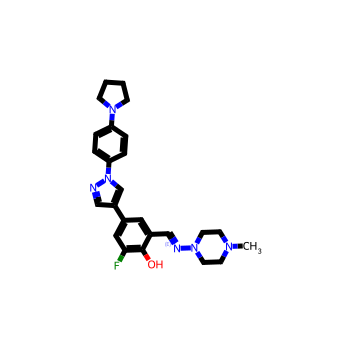 CN1CCN(/N=C/c2cc(-c3cnn(-c4ccc(N5CCCC5)cc4)c3)cc(F)c2O)CC1